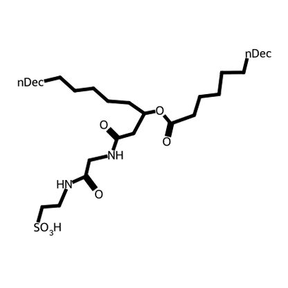 CCCCCCCCCCCCCCCC(=O)OC(CCCCCCCCCCCCCCC)CC(=O)NCC(=O)NCCS(=O)(=O)O